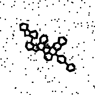 CC12C3=C(C=CCC3N(c3ccc(-c4ccccc4)cc3)c3cc4ccccc4cc31)c1c2c2ccccc2c2c1oc1cccc(-c3cccc4c3sc3ccccc34)c12